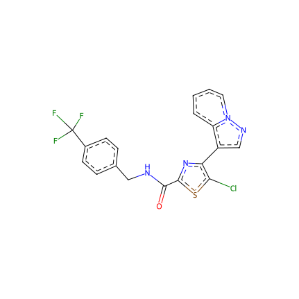 O=C(NCc1ccc(C(F)(F)F)cc1)c1nc(-c2cnn3ccccc23)c(Cl)s1